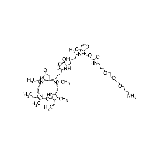 C=Cc1c(C)c2cc3nc(c4c5[nH]c(cc6nc(cc1[nH]2)C(C)=C6CC)c(C)c5C(=O)C4)C(CCC(=O)NC(CCCCNC1(C)C=COC1COCC(=O)NCCCOCCOCCOCCCN)C(=O)O)[C@@H]3C